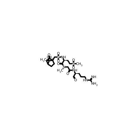 CN(CC(=O)N[C@H](C=O)CCCNC(=N)N)C(=O)[C@H](CCS(C)(=O)=O)NS(=O)(=O)CC12CCC(CC1=O)C2(C)C